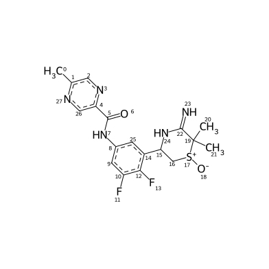 Cc1cnc(C(=O)Nc2cc(F)c(F)c(C3C[S+]([O-])C(C)(C)C(=N)N3)c2)cn1